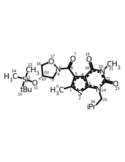 Cc1sc2c(c1C(=O)N1C[C@H](O[Si](C)(C)C(C)(C)C)CO1)c(=O)n(C)c(=O)n2CC(C)C